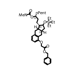 CCCCC[C@@H](CC[C@H]1C(O[Si](CC)(CC)CC)C[C@@H]2Cc3c(cccc3OCC(=O)OCc3ccccc3)C[C@@H]21)OC(=O)NC